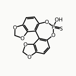 OP1(=S)Oc2ccc3c(c2-c2c(ccc4c2OCO4)O1)OCO3